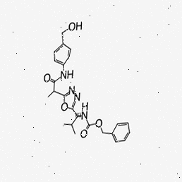 CC(C(=O)Nc1ccc(CO)cc1)c1nnc([C@@H](NC(=O)OCc2ccccc2)C(C)C)o1